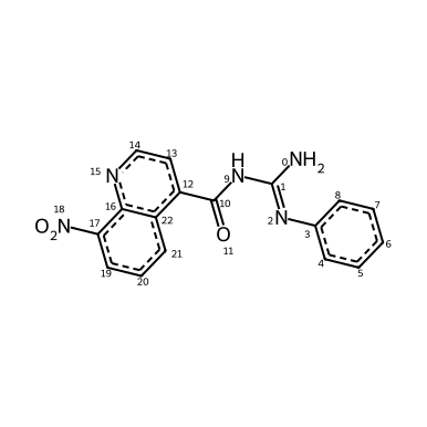 NC(=Nc1ccccc1)NC(=O)c1ccnc2c([N+](=O)[O-])cccc12